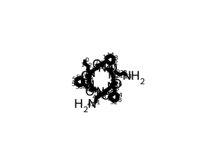 CCCCN1CC(=O)N(Cc2ccccc2)CC(=O)N(CCCN)CC(=O)N(Cc2ccccc2)CC(=O)N(CCCN)CC(=O)N(Cc2ccccc2)CC1=O